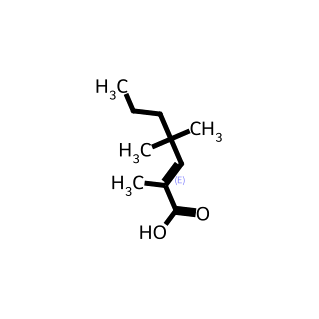 CCCC(C)(C)/C=C(\C)C(=O)O